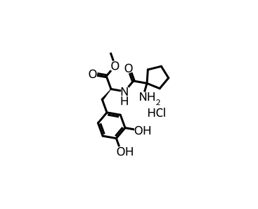 COC(=O)[C@H](Cc1ccc(O)c(O)c1)NC(=O)C1(N)CCCC1.Cl